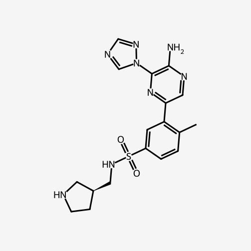 Cc1ccc(S(=O)(=O)NC[C@H]2CCNC2)cc1-c1cnc(N)c(-n2cncn2)n1